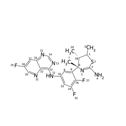 CC1SC(N)=N[C@](C)(c2cc(Nc3ncnc4cc(F)cnc34)cc(F)c2F)[C@@H]1C